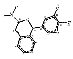 CN(C)[C@H]1Cc2ccccc2C(c2ccc(Cl)c(Cl)c2)C1